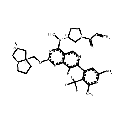 C=CC(=O)N1CC[C@@H](N(C)c2nc(OC[C@@]34CCCN3C[C@H](F)C4)nc3c(F)c(-c4cc(N)nc(C)c4C(F)(F)F)ncc23)C1